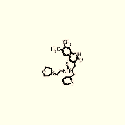 Cc1cc2cc(CN(Cc3ccccn3)C(=S)NCCN3CCOCC3)c(=O)[nH]c2cc1C